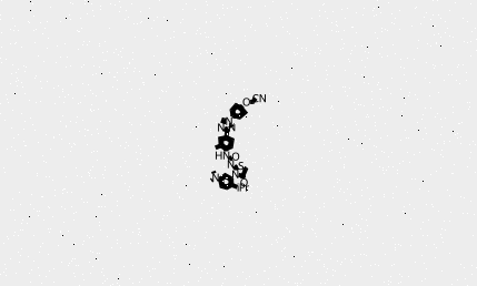 Cc1cc(-c2ncn(-c3ccc(OCC#N)cc3)n2)ccc1NC(=O)N=C1SCC(=O)N1c1cc(N(C)C)ccc1C(C)C